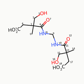 CC(CO)(CC(=O)O)C(=O)NCNC(=O)C(C)(CO)CC(=O)O